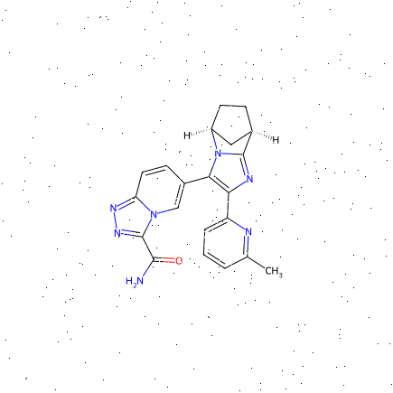 Cc1cccc(-c2nc3n(c2-c2ccc4nnc(C(N)=O)n4c2)[C@H]2CC[C@@H]3C2)n1